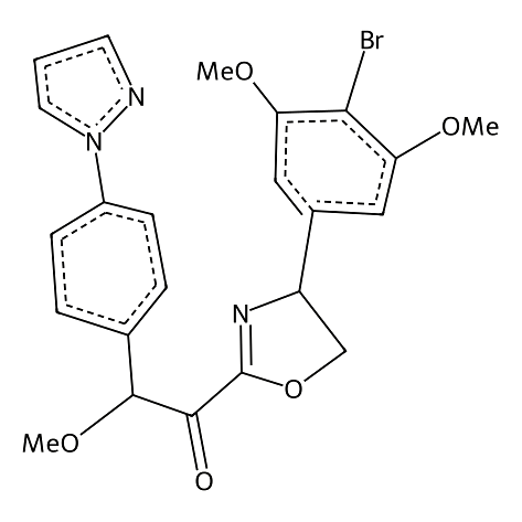 COc1cc(C2COC(C(=O)C(OC)c3ccc(-n4cccn4)cc3)=N2)cc(OC)c1Br